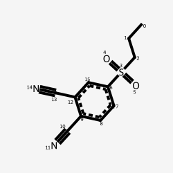 CCCS(=O)(=O)c1[c]cc(C#N)c(C#N)c1